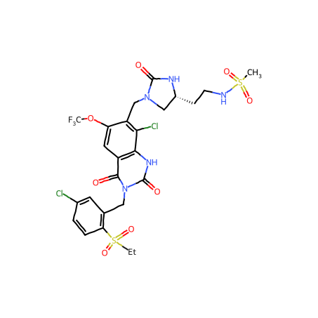 CCS(=O)(=O)c1ccc(Cl)cc1Cn1c(=O)[nH]c2c(Cl)c(CN3C[C@@H](CCNS(C)(=O)=O)NC3=O)c(OC(F)(F)F)cc2c1=O